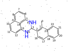 Cc1c(C2Nc3cccc4cccc(c34)N2)ccc2ccccc12